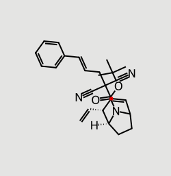 C=C[C@@H]1C(C(C#N)(C#N)C/C=C/c2ccccc2)=CC2CC[C@@H]1N2C(=O)OC(C)(C)C